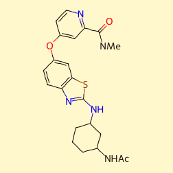 CNC(=O)c1cc(Oc2ccc3nc(NC4CCCC(NC(C)=O)C4)sc3c2)ccn1